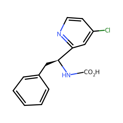 O=C(O)N[C@@H](Cc1ccccc1)c1cc(Cl)ccn1